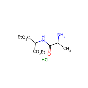 CCOC(=O)C(NC(=O)C(C)N)C(=O)OCC.Cl